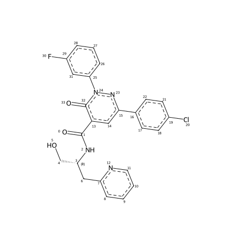 O=C(N[C@@H](CO)Cc1ccccn1)c1cc(-c2ccc(Cl)cc2)nn(-c2cccc(F)c2)c1=O